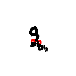 CCOC(CC1CCCCC1)O[SiH3]